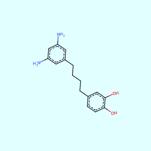 Nc1cc(N)cc(CCCCc2ccc(O)c(O)c2)c1